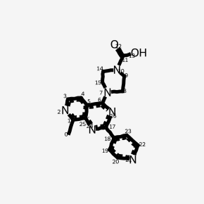 Cc1nccc2c(N3CCN(C(=O)O)CC3)nc(-c3ccncc3)nc12